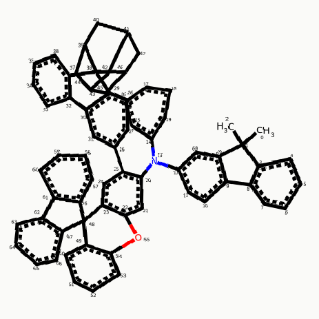 CC1(C)c2ccccc2-c2ccc(N(c3ccccc3)c3cc4c(cc3-c3ccc5c(c3)-c3ccccc3C53C5CC6CC(C5)CC3C6)C3(c5ccccc5O4)c4ccccc4-c4ccccc43)cc21